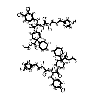 CCCC(=O)C1(C2CCCCC2)CCN(C(=O)[C@@H](Cc2ccc(Cl)cc2)NC(=O)NCCc2c[nH]cn2)CC1.CCOC(=O)C1(C2CCCCC2)CCN(C(=O)[C@@H](Cc2ccc(Cl)c(Cl)c2)NC(=O)NCCCc2c[nH]cn2)CC1